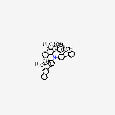 CC1(C)c2ccccc2-c2ccc(N(c3ccc4c(c3)C(C)(C)c3cc5ccccc5cc3-4)c3c4c(cc5ccccc35)C(C)(C)C3(C)CC=CC=C43)cc21